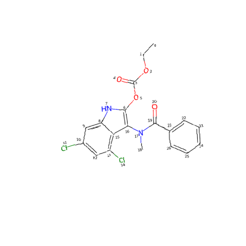 CCOC(=O)Oc1[nH]c2cc(Cl)cc(Cl)c2c1N(C)C(=O)c1ccccc1